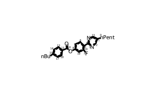 CCCCCc1cnc(-c2ccc(OC(=O)c3ccc(CCCC)cc3)cc2F)nc1